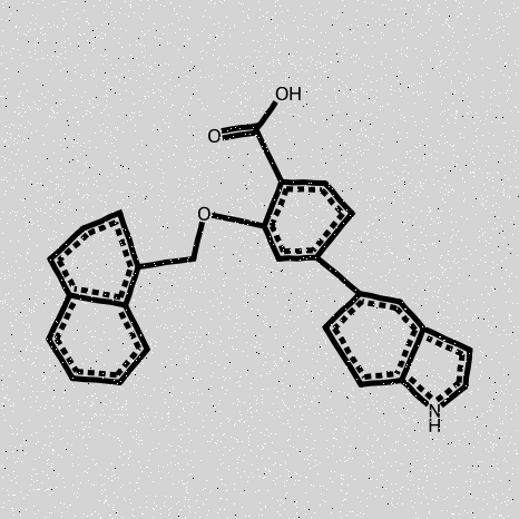 O=C(O)c1ccc(-c2ccc3[nH]ccc3c2)cc1OCc1cccc2ccccc12